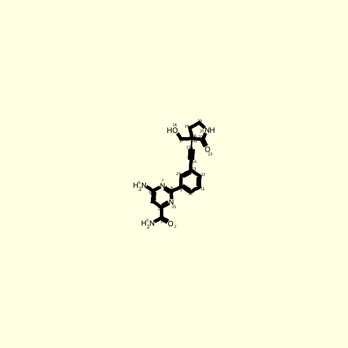 NC(=O)c1cc(N)nc(-c2cccc(C#C[C@@]3(CO)CCNC3=O)c2)n1